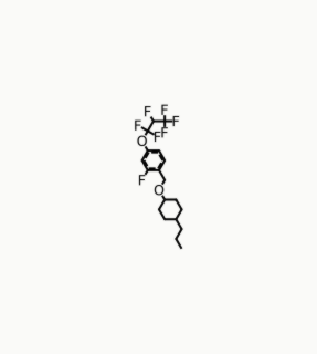 CCCC1CCC(OCc2ccc(OC(F)(F)C(F)C(F)(F)F)cc2F)CC1